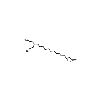 [O-][NH2+]CCCCCCCCCCCCCC(CCO)CCO